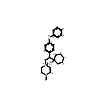 CN1CCN(CC(c2ccc(Oc3ccccc3)cc2)C2(O)CCCCC2)CC1